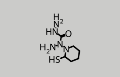 NNC(=O)N(N)N1CCCCC1S